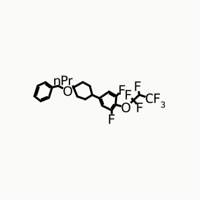 CCCC1(OCc2ccccc2)CCC(c2cc(F)c(OC(F)(F)C(F)C(F)(F)F)c(F)c2)CC1